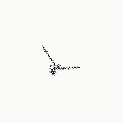 CCCCCCCCCCCCCCCCCCC(c1cc(C)c(O)c(C(C)(C)C)c1)C(CCCCCCCCCCCCCCCCCC)(C(=O)O)C(=O)O